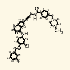 CN1CCN(Cc2ccc(C(=O)NCC#Cc3cc4ncnc(Nc5ccc(OCc6cccc(F)c6)c(Cl)c5)c4s3)cc2)CC1